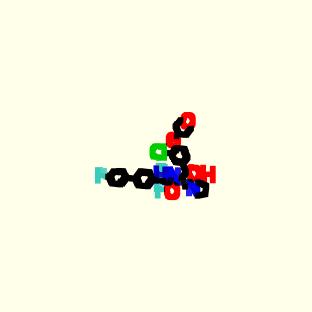 O=C(N[C@H](CN1CCCC1)[C@@H](O)c1ccc(OC2CCOCC2)c(Cl)c1)C(F)(F)c1ccc(-c2ccc(F)cc2)cc1